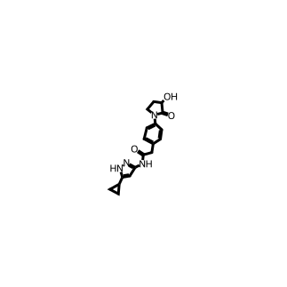 O=C(Cc1ccc(N2CCC(O)C2=O)cc1)Nc1cc(C2CC2)[nH]n1